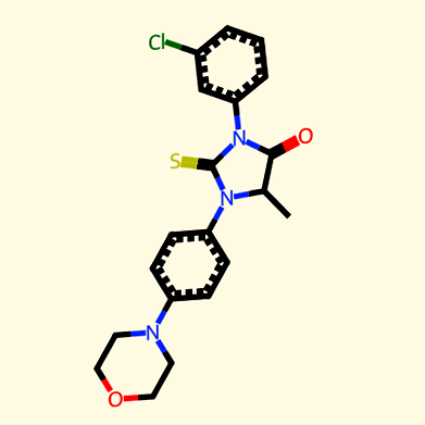 CC1C(=O)N(c2cccc(Cl)c2)C(=S)N1c1ccc(N2CCOCC2)cc1